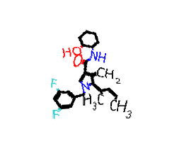 C=c1c(C(=O)N[C@H]2CCCCC2O)cn(Cc2cc(F)cc(F)c2)/c1=C(C)/C=C\C